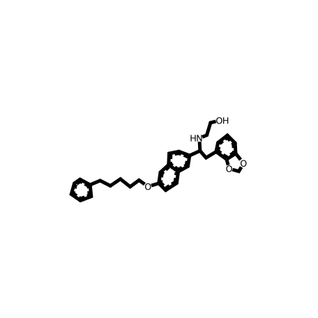 OCCNC(Cc1cccc2c1OCO2)c1ccc2cc(OCCCCCc3ccccc3)ccc2c1